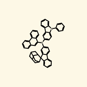 c1ccc(-n2c3ccccc3c3cc(N(c4ccc5c(c4)C4(c6ccccc6-5)C5CC6CC(C5)CC4C6)c4cc5ccccc5c5ccccc45)ccc32)cc1